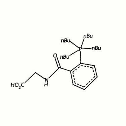 CCCCP(CCCC)(CCCC)(CCCC)c1ccccc1C(=O)NCC(=O)O